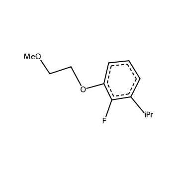 COCCOc1cccc(C(C)C)c1F